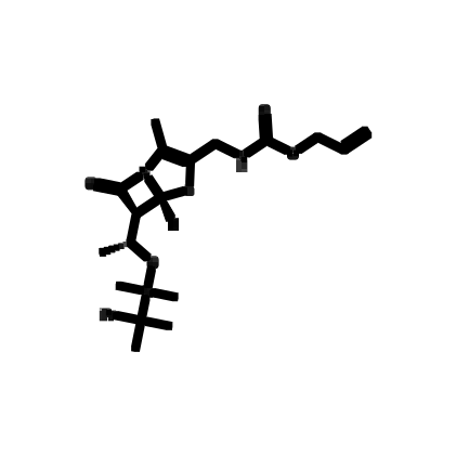 C=CCOC(=O)NCC1=C(C)N2C(=O)[C@H]([C@@H](C)O[Si](C)(C)C(C)(C)C(C)C)[C@H]2S1